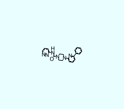 O=C(Nc1cccnn1)N1CCN(c2cccc(-c3ccccc3)n2)CC1